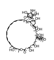 C[C@@H]1[C@H](O)[C@@H](C)C=CC=CC=CC=CC=CC=CC=C[C@H](O[C@@H]2O[C@H](C)[C@@H](O)[C@H](N)[C@@H]2O)C[C@@H]2O[C@](O)(C[C@@H](O)C[C@@H](O)[C@H](O)CC[C@@H](O)C[C@@H](O)CC(=O)O[C@H]1C)C[C@H](O)[C@H]2C(=O)O.O.O.O